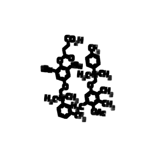 CC(=O)Oc1c(C)cc(OC[Si](C)(C)c2ccc(C(F)(F)F)cc2)c(C)c1C.CC(C)(C)c1cc(OC[Si](C)(C)c2cccc(C(F)(F)F)c2)cc(C(C)(C)C)c1OC(=O)CCC(=O)O